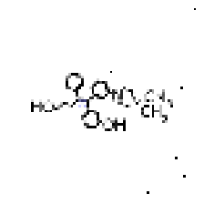 CC(C)N1CCN(c2cccc(/C(=C(/CCCO)c3ccccc3)c3cccc(O)c3)c2)CC1